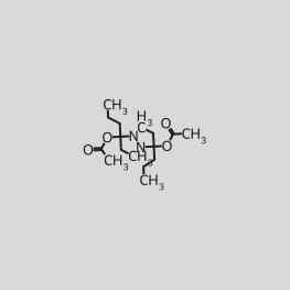 CCCC(CC)(N=NC(CC)(CCC)OC(C)=O)OC(C)=O